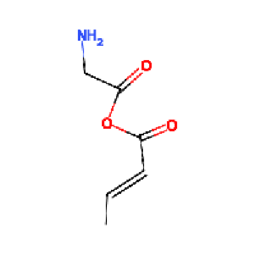 C/C=C/C(=O)OC(=O)CN